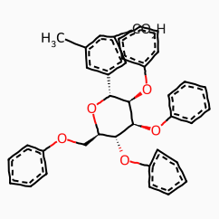 Cc1cc(C(=O)O)cc([C@H]2O[C@H](COc3ccccc3)[C@@H](Oc3ccccc3)[C@H](Oc3ccccc3)[C@@H]2Oc2ccccc2)c1